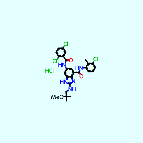 COC(C)(C)CNc1nc2c(C(=O)Nc3cccc(Cl)c3C)cc(NC(=O)c3cc(Cl)ccc3Cl)cc2[nH]1.Cl